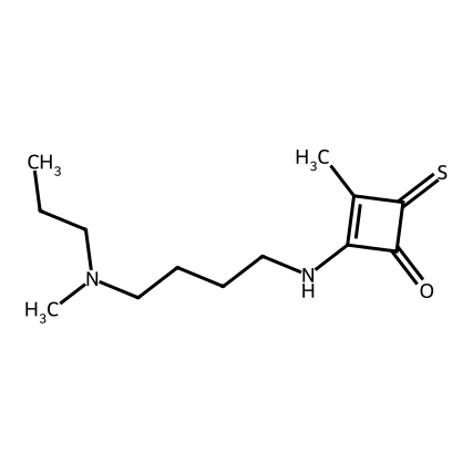 CCCN(C)CCCCNc1c(C)c(=S)c1=O